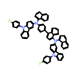 Fc1ccc(-n2c3ccccc3c3cc(N(c4ccc(-c5ccc(N(c6ccc7c(c6)c6ccccc6n7-c6ccc(F)cc6)c6cccc7ccccc67)c6ccccc56)cc4)c4cccc5ccccc45)ccc32)cc1